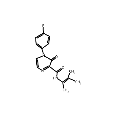 CC(C)=C(C)NC(=O)c1nccn(-c2ccc(F)cc2)c1=O